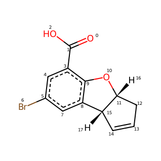 O=C(O)c1cc(Br)cc2c1O[C@@H]1CC=C[C@H]21